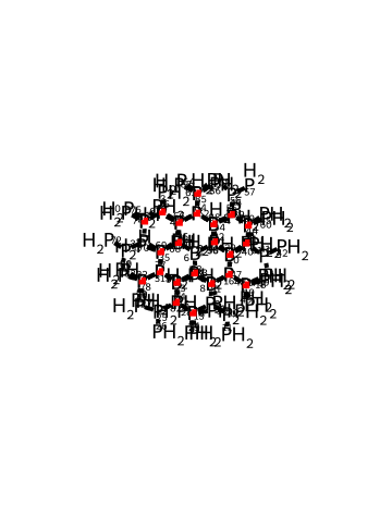 PPP(P)P(B(B(B(B(P(P(P)P)P(P)P)P(P(P)P)P(P)P)B(P(P(P)P)P(P)P)P(P(P)P)P(P)P)B(B(P(P(P)P)P(P)P)P(P(P)P)P(P)P)B(P(P(P)P)P(P)P)P(P(P)P)P(P)P)P(P(P(P)P)P(P)P)P(P(P)P)P(P)P)P(P(P)P)P(P)P